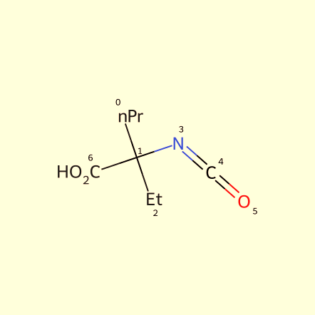 CCCC(CC)(N=C=O)C(=O)O